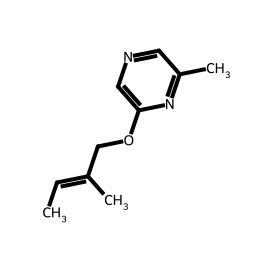 C/C=C(\C)COc1cncc(C)n1